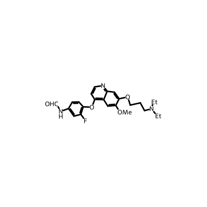 CCN(CC)CCCOc1cc2nccc(Oc3ccc(NC=O)cc3F)c2cc1OC